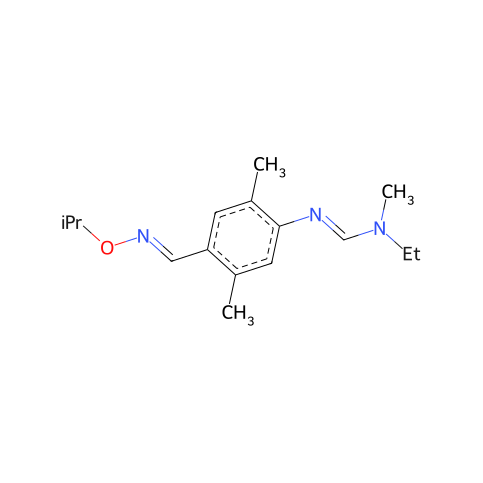 CCN(C)C=Nc1cc(C)c(/C=N/OC(C)C)cc1C